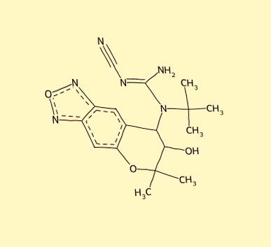 CC1(C)Oc2cc3nonc3cc2C(N(C(N)=NC#N)C(C)(C)C)C1O